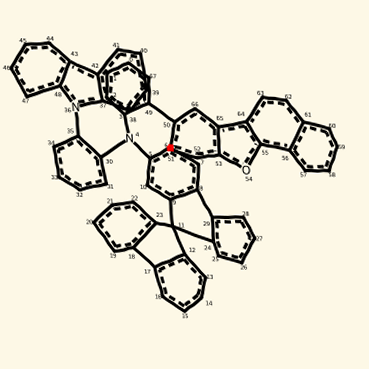 c1ccc(N(c2ccc3c(c2)C2(c4ccccc4-c4ccccc42)c2ccccc2-3)c2ccccc2-n2c3ccccc3c3ccccc32)c(-c2ccc3oc4c5ccccc5ccc4c3c2)c1